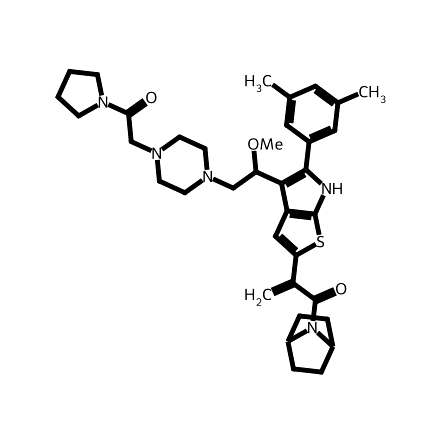 C=C(C(=O)N1C2CCC1CC2)c1cc2c(C(CN3CCN(CC(=O)N4CCCC4)CC3)OC)c(-c3cc(C)cc(C)c3)[nH]c2s1